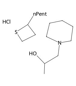 CC(O)CN1CCCCC1.CCCCCC1CCS1.Cl